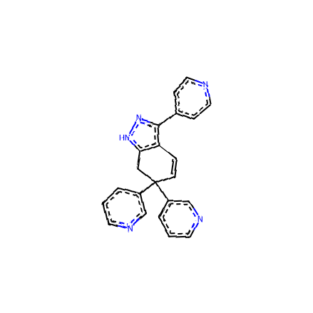 C1=CC(c2cccnc2)(c2cccnc2)Cc2[nH]nc(-c3ccncc3)c21